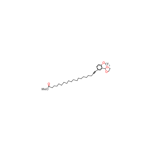 COC(=O)CCCCCCCCCCCCCCCCCC#Cc1ccc(OC(F)(F)F)c(C2OCCO2)c1